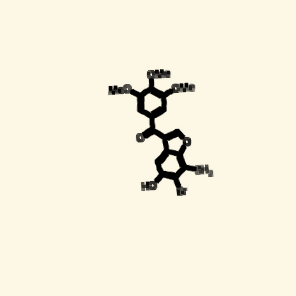 Bc1c(Br)c(O)cc2c(C(=O)c3cc(OC)c(OC)c(OC)c3)coc12